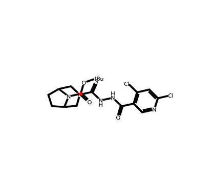 CC(C)(C)OC(=O)N1C2CCC1CN(C(=S)NNC(=O)c1cnc(Cl)cc1Cl)C2